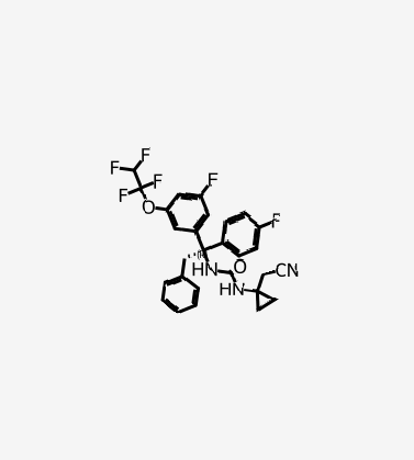 N#CCC1(NC(=O)N[C@](Cc2ccccc2)(c2ccc(F)cc2)c2cc(F)cc(OC(F)(F)C(F)F)c2)CC1